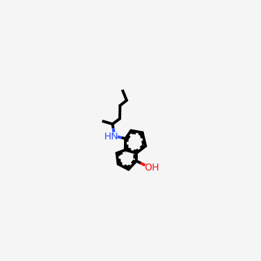 CCCCC(C)Nc1cccc2c(O)cccc12